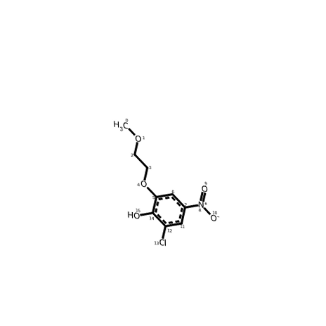 COCCOc1cc([N+](=O)[O-])cc(Cl)c1O